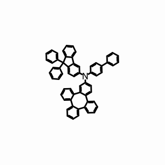 c1ccc(-c2ccc(N(c3ccc4c(c3)-c3ccccc3-c3ccccc3-c3ccccc3-4)c3ccc4c(c3)-c3ccccc3C4(c3ccccc3)c3ccccc3)cc2)cc1